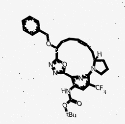 CC(C)(C)OC(=O)Nc1cc(C(F)(F)F)c2nc1-c1nnc(o1)C(OCc1ccccc1)CCC=CC[C@@H]1CCCN21